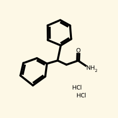 Cl.Cl.NC(=O)CC(c1ccccc1)c1ccccc1